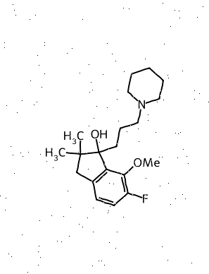 COc1c(F)ccc2c1C(O)(CCCN1CCCCC1)C(C)(C)C2